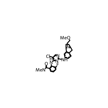 CNC(=O)c1cccc(F)c1Nc1nc(Nc2ccc3c(c2)C2CCC(C3)N2CCOC)ncc1Cl